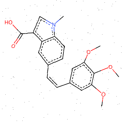 COc1cc(/C=C\c2ccc3c(c2)c(C(=O)O)cn3C)cc(OC)c1OC